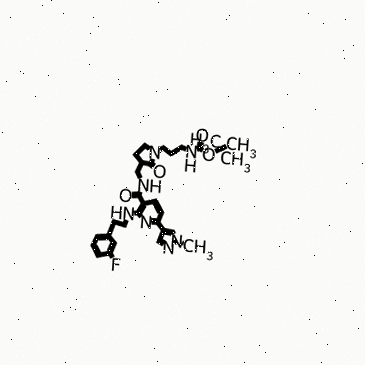 Cn1cc(-c2ccc(C(=O)NCC3CCN(CCCNC(=O)OC(C)(C)C)C3=O)c(NCCc3cccc(F)c3)n2)cn1